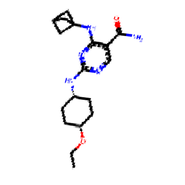 CCO[C@H]1CC[C@H](Nc2ncc(C(N)=O)c(NC34CC(C3)C4)n2)CC1